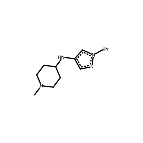 CC(C)n1cc(NC2CCN(C)CC2)cn1